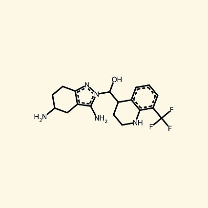 Nc1c2c(nn1C(O)C1CCNc3c1cccc3C(F)(F)F)CCC(N)C2